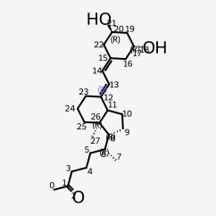 CC(=O)CCC[C@@H](C)[C@H]1CCC2/C(=C/C=C3C[C@@H](O)C[C@H](O)C3)CCC[C@@]21C